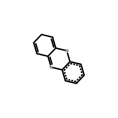 [C]1=C2[N]c3ccccc3N=C2C=CC1